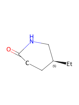 CC[C@H]1CCC(=O)NC1